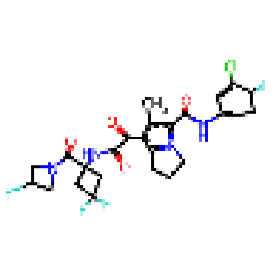 Cc1c(C(=O)C(=O)NC2(C(=O)N3CC(F)C3)CC(F)(F)C2)c2n(c1C(=O)NC1=CCC(F)C(Cl)=C1)CCC2